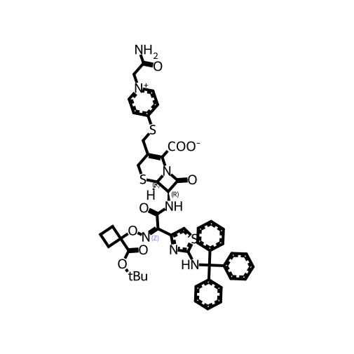 CC(C)(C)OC(=O)C1(O/N=C(\C(=O)N[C@@H]2C(=O)N3C(C(=O)[O-])=C(CSc4cc[n+](CC(N)=O)cc4)CS[C@H]23)c2csc(NC(c3ccccc3)(c3ccccc3)c3ccccc3)n2)CCC1